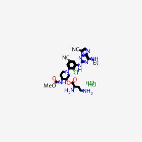 CCNc1nc(Nc2cc(C#N)cc(N3CCC(NC(=O)OC)C(OC(=O)C(N)CCN)C3)c2Cl)nn2c(C#N)cnc12.Cl.Cl